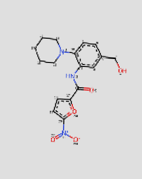 O=C(Nc1cc(CO)ccc1N1CCCCC1)c1ccc([N+](=O)[O-])o1